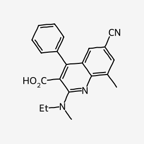 CCN(C)c1nc2c(C)cc(C#N)cc2c(-c2ccccc2)c1C(=O)O